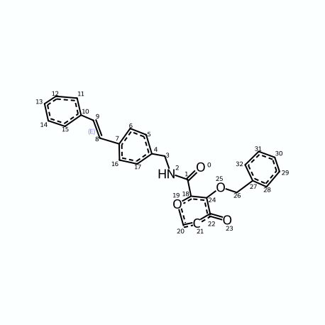 O=C(NCc1ccc(/C=C/c2ccccc2)cc1)c1occc(=O)c1OCc1ccccc1